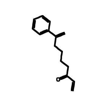 C=CC(=O)CCCCC(=C)c1ccccc1